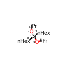 CCCCCC[Si](CCCCCC)(OC(C)C)OC(C)C